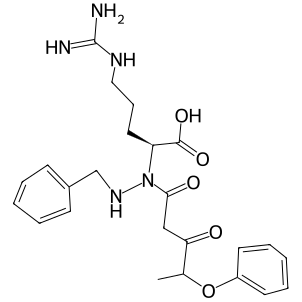 CC(Oc1ccccc1)C(=O)CC(=O)N(NCc1ccccc1)[C@@H](CCCNC(=N)N)C(=O)O